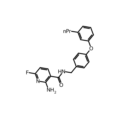 CCCc1cccc(Oc2ccc(CNC(=O)c3ccc(F)nc3N)cc2)c1